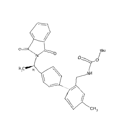 Cc1ccc(-c2ccc([C@@H](C)N3C(=O)c4ccccc4C3=O)cc2)c(CNC(=O)OC(C)(C)C)c1